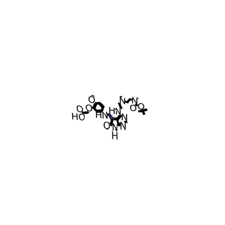 COc1ccc(N/C=C2\C(=O)Nc3ncnc(NCCN(C)CCN(C)C(=O)OC(C)(C)C)c32)cc1OCC(=O)O